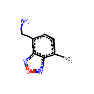 NCc1ccc([N+](=O)[O-])c2nonc12